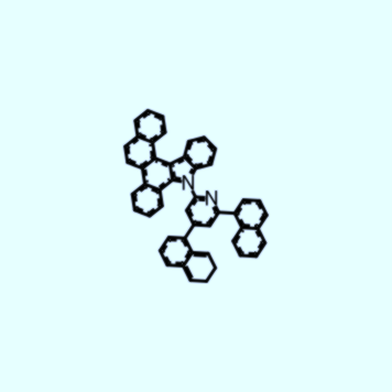 C1=c2cccc(-c3cc(-c4cccc5ccccc45)nc(-n4c5ccccc5c5c6c7ccccc7ccc6c6ccccc6c54)c3)c2=CCC1